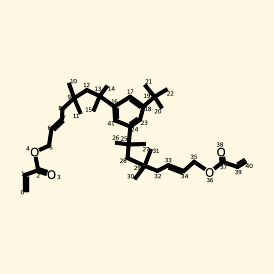 C=CC(=O)OC/C=C/CC(C)(C)CC(C)(C)c1cc(C(C)(C)C)cc(C(C)(C)CC(C)(C)C/C=C/COC(=O)C=C)c1